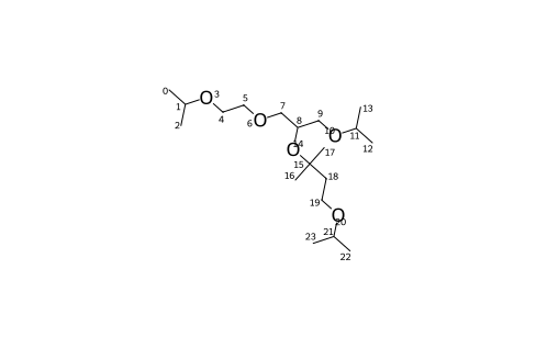 CC(C)OCCOCC(COC(C)C)OC(C)(C)CCOC(C)C